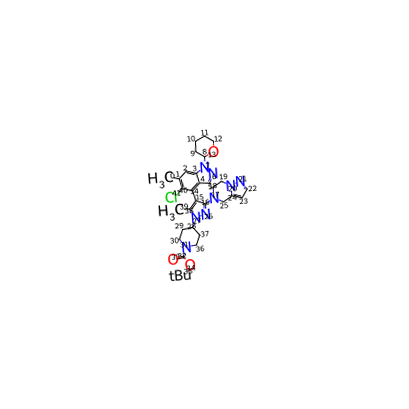 Cc1cc2c(cnn2C2CCCCO2)c(-c2c(N3CCn4nccc4C3)nn(C3CCN(C(=O)OC(C)(C)C)CC3)c2C)c1Cl